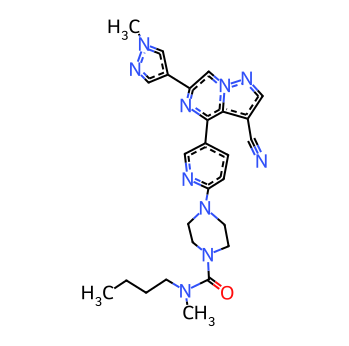 CCCCN(C)C(=O)N1CCN(c2ccc(-c3nc(-c4cnn(C)c4)cn4ncc(C#N)c34)cn2)CC1